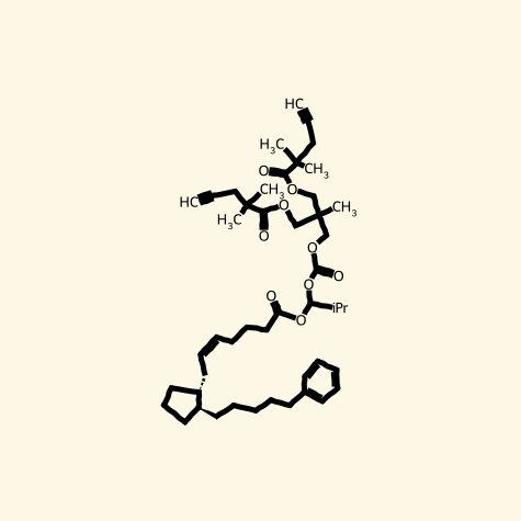 C#CCC(C)(C)C(=O)OCC(C)(COC(=O)OC(OC(=O)CCC/C=C\C[C@H]1CCC[C@@H]1CCCCCc1ccccc1)C(C)C)COC(=O)C(C)(C)CC#C